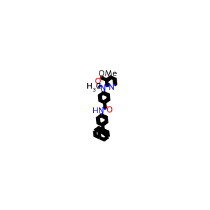 COC(=O)c1cccnc1N(C)c1ccc(C(=O)Nc2ccc(C34CC5CC(CC(C5)C3)C4)cc2)cc1